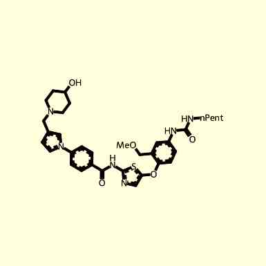 CCCCCNC(=O)Nc1ccc(Oc2cnc(NC(=O)c3ccc(-n4ccc(CN5CCC(O)CC5)c4)cc3)s2)c(COC)c1